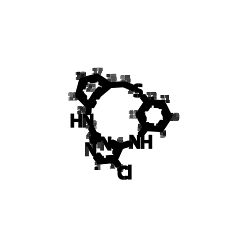 Clc1cnc2nc1Nc1cccc(c1)SCc1cccc(c1)N2